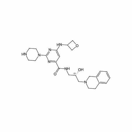 O=C(NC[C@H](O)CN1CCc2ccccc2C1)c1cc(NC2COC2)nc(N2CCNCC2)n1